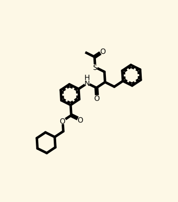 CC(=O)SCC(Cc1ccccc1)C(=O)Nc1cccc(C(=O)OCC2CCCCC2)c1